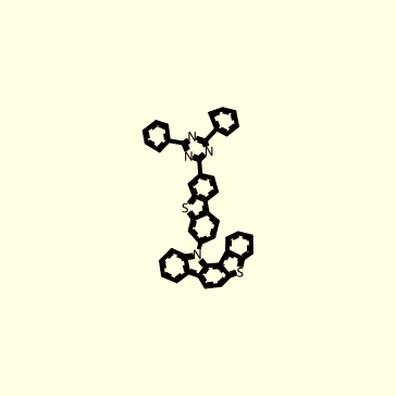 c1ccc(-c2nc(-c3ccccc3)nc(-c3ccc4c(c3)sc3cc(-n5c6ccccc6c6ccc7sc8ccccc8c7c65)ccc34)n2)cc1